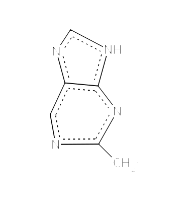 [CH2]c1ncc2nc[nH]c2n1